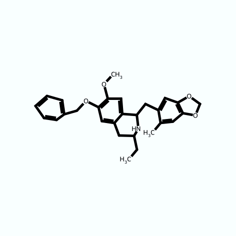 CCC1Cc2cc(OCc3ccccc3)c(OC)cc2C(Cc2cc3c(cc2C)OCO3)N1